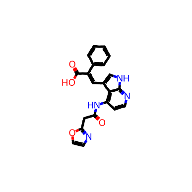 O=C(Cc1ncco1)Nc1ccnc2[nH]cc(/C=C(/C(=O)O)c3ccccc3)c12